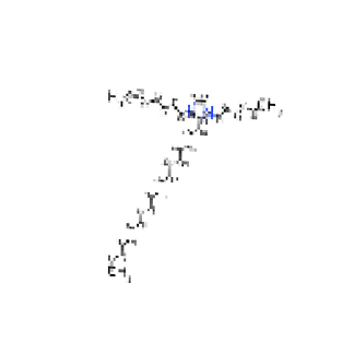 CCCCCCCCCCCCCCCCCCCC1N(CCCCCC)C=CN1CCCCCCC